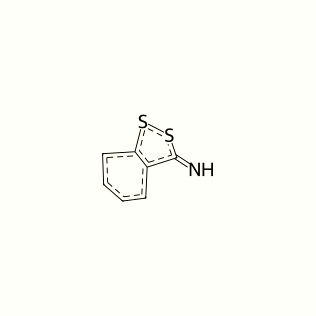 N=c1ssc2ccccc12